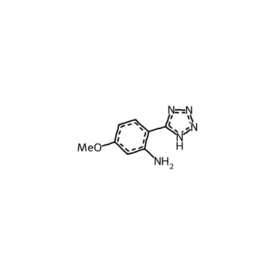 COc1ccc(-c2nnn[nH]2)c(N)c1